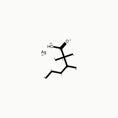 CCCC(C)C(C)(C)C(=O)O.[Ag]